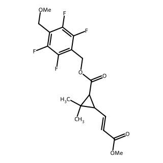 COCc1c(F)c(F)c(COC(=O)C2C(C=CC(=O)OC)C2(C)C)c(F)c1F